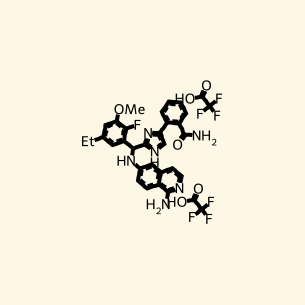 CCc1cc(OC)c(F)c(C(Nc2ccc3c(N)nccc3c2)c2nc(-c3ccccc3C(N)=O)c[nH]2)c1.O=C(O)C(F)(F)F.O=C(O)C(F)(F)F